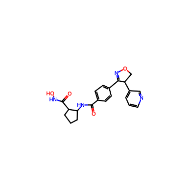 O=C(NC1CCCC1C(=O)NO)c1ccc(C2=NOCC2c2cccnc2)cc1